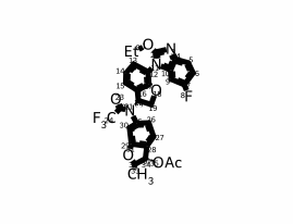 CCOc1nc2ccc(F)cc2n1-c1cccc2c1OC[C@@H]2N(C(=O)C(F)(F)F)c1ccc2c(c1)OC(C)[C@H]2OC(C)=O